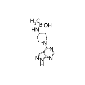 CB(O)NC1CCN(c2ncnc3[nH]ncc23)CC1